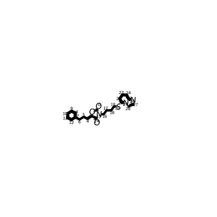 O=C1OC(=CCCc2ccccc2)C(=O)N1CCCCSc1cccc2nccn12